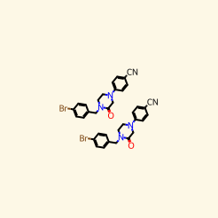 N#Cc1ccc(N2CCN(Cc3ccc(Br)cc3)C(=O)C2)cc1.N#Cc1ccc(N2CCN(Cc3ccc(Br)cc3)C(=O)C2)cc1